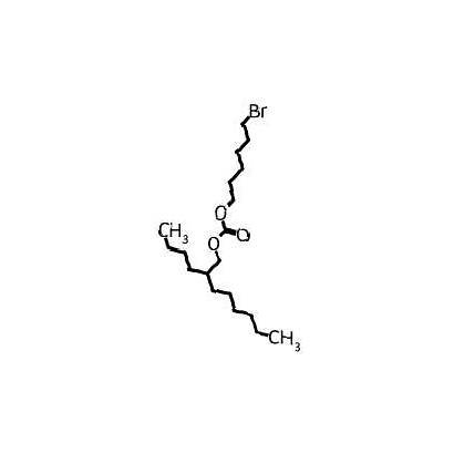 CCCCCCC(CCCC)COC(=O)OCCCCCCBr